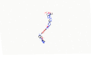 CC(=O)C1=C(C)c2cnc(Nc3ccc(N4CCN(CC(=O)NCCOCCOCCNc5cccc(C(=O)Nc6cc(C)n(C)n6)c5C)CC4)cn3)nc2N(C2CCCC2)C1O